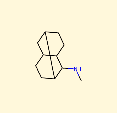 CNC1C2CCC3CC2CCC31